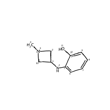 CN1CC(Nc2ccccc2O)C1